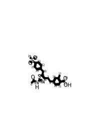 CC(=O)Nc1nc(CCc2ccc(C(=O)O)c(C)c2)c(Cc2ccc(S(C)(=O)=O)cc2)s1